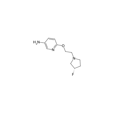 Nc1ccc(OCCN2CC[C@H](F)C2)nc1